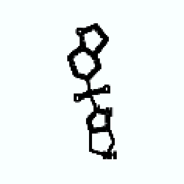 O=S(=O)(c1ccc2occc2c1)n1cc2c(n1)CNC2